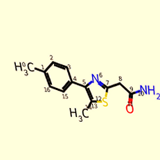 Cc1ccc(-c2nc(CC(N)=O)sc2C)cc1